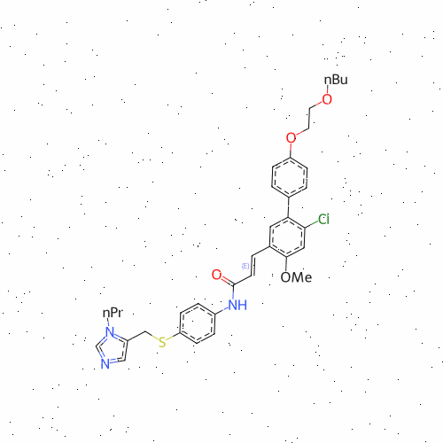 CCCCOCCOc1ccc(-c2cc(/C=C/C(=O)Nc3ccc(SCc4cncn4CCC)cc3)c(OC)cc2Cl)cc1